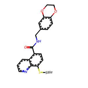 CSSc1ccc(C(=O)NCc2ccc3c(c2)OCCO3)c2cccnc12